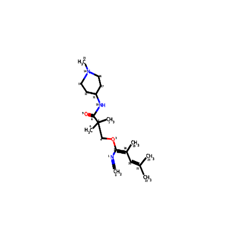 C=N/C(OCC(C)(C)C(=O)NC1CCN(C)CC1)=C(/C)C=C(C)C